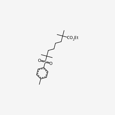 CCOC(=O)C(C)(C)CCCCC(C)(C)S(=O)(=O)c1ccc(C)cc1